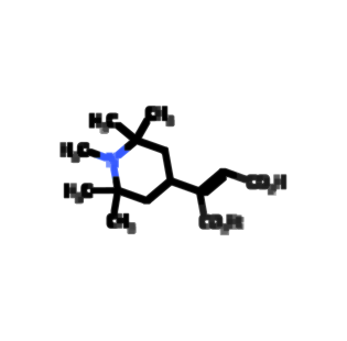 CCOC(=O)/C(=C\C(=O)O)C1CC(C)(C)N(C)C(C)(C)C1